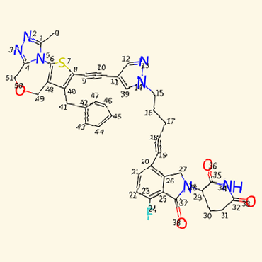 Cc1nnc2n1-c1sc(C#Cc3cnn(CCCC#Cc4ccc(F)c5c4CN(C4CCC(=O)NC4=O)C5=O)c3)c(Cc3ccccc3)c1COC2